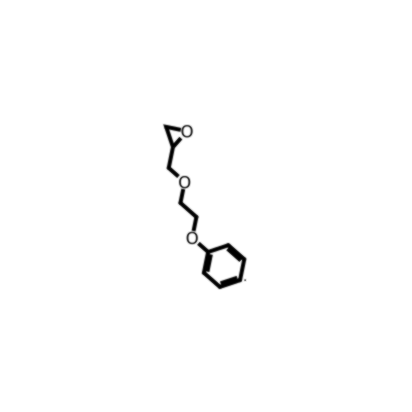 [c]1ccc(OCCOCC2CO2)cc1